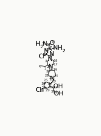 CC[C@H]1CN(c2nc(N)c(C(N)=O)nc2Cl)CCN1C1CCN(Cc2ccc(Cl)cc2C(O)CO)CC1